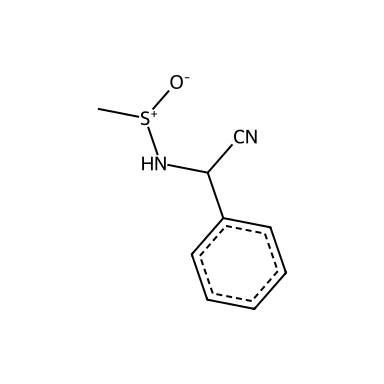 C[S+]([O-])NC(C#N)c1ccccc1